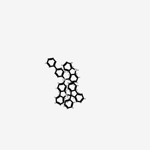 c1ccc(-c2ccc(N(c3ccc4c5ccccc5n(C5(c6ccccc6)c6ccccc6-c6ccccc65)c4c3)c3cccc4oc5ccccc5c34)cc2)cc1